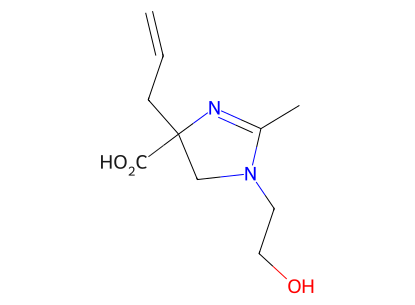 C=CCC1(C(=O)O)CN(CCO)C(C)=N1